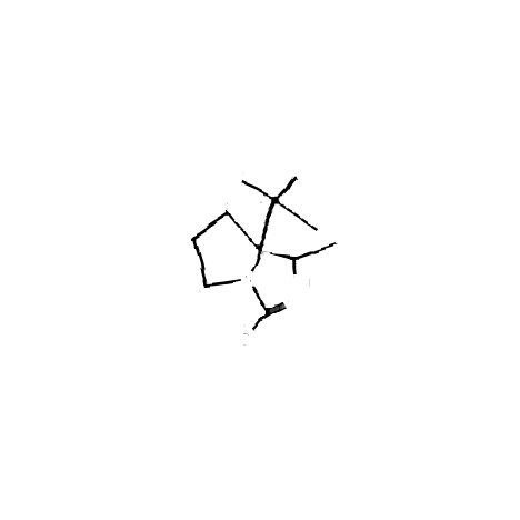 CC(O)[C@]1(C(C)(C)C)CCCN1C(=O)O